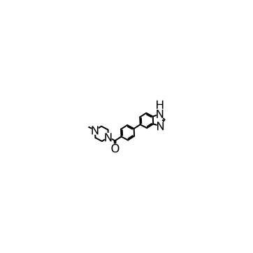 CN1CCN(C(=O)c2ccc(-c3ccc4[nH]cnc4c3)cc2)CC1